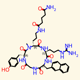 CN1C(=O)[C@@H](Cc2ccc(O)cc2)NC(=O)CNC(=O)[C@H](Cc2ccc3ccccc3c2)NC(=O)[C@H](CCCNC(=N)N)NC(=O)[C@H]1CCCNC(=O)CCCC(N)=O